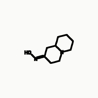 ON=C1CCN2CCCCC2C1